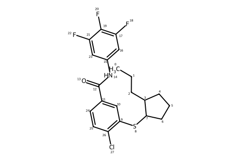 CCCC1CCCC1Sc1cc(C(=O)Nc2cc(F)c(F)c(F)c2)ccc1Cl